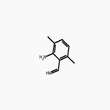 Cc1ccc(C)c(C=N)c1N